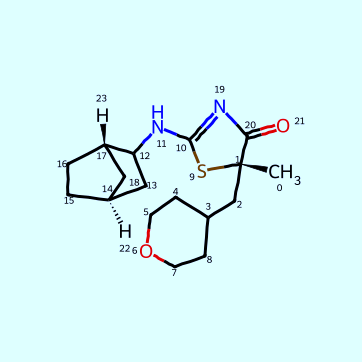 C[C@@]1(CC2CCOCC2)SC(NC2C[C@H]3CC[C@H]2C3)=NC1=O